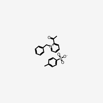 CC(=O)c1cccc[n+]1Cc1ccccc1.Cc1ccc(S(=O)(=O)[O-])cc1